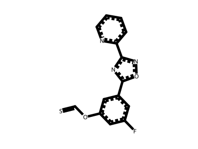 Fc1cc(OC=S)cc(-c2nc(-c3ccccn3)no2)c1